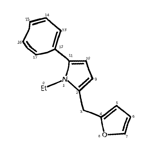 CCn1c(Cc2ccco2)ccc1-c1ccccc1